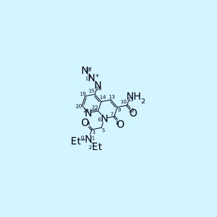 CCN(CC)C(=O)Cn1c(=O)c(C(N)=O)cc2c(N=[N+]=[N-])ccnc21